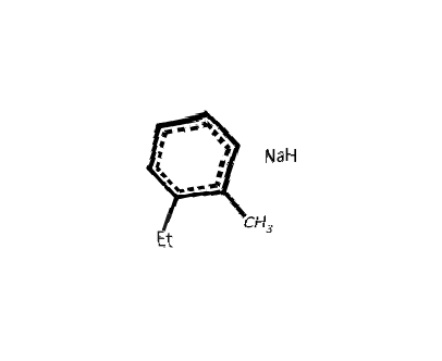 CCc1ccccc1C.[NaH]